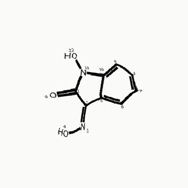 O=C1C(=NO)c2ccccc2N1O